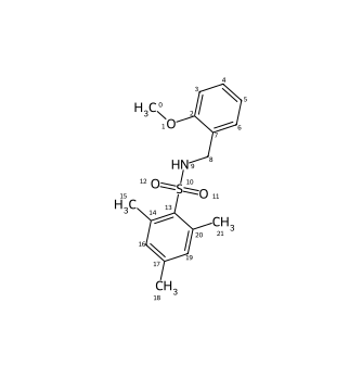 COc1ccccc1CNS(=O)(=O)c1c(C)cc(C)cc1C